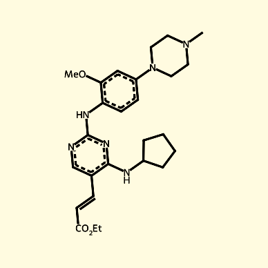 CCOC(=O)C=Cc1cnc(Nc2ccc(N3CCN(C)CC3)cc2OC)nc1NC1CCCC1